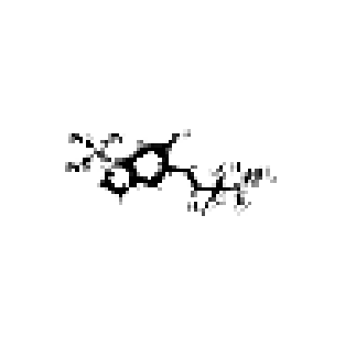 CC(C)[Si](C(C)C)(C(C)C)n1ccc2cc(CCC(C)(C)[S+](N)[O-])c(F)cc21